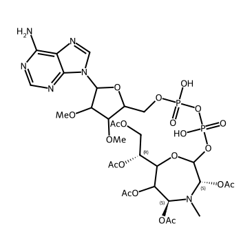 COC1C(COP(=O)(O)OP(=O)(O)OC2OC([C@@H](COC(C)=O)OC(C)=O)C(OC(C)=O)[C@H](OC(C)=O)N(C)[C@H]2OC(C)=O)OC(n2cnc3c(N)ncnc32)C1OC